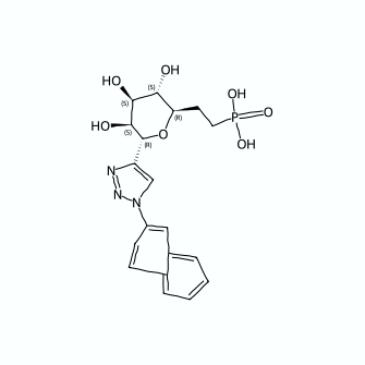 O=P(O)(O)CC[C@H]1O[C@H](c2cn(-c3ccc4ccccc4c3)nn2)[C@@H](O)[C@@H](O)[C@@H]1O